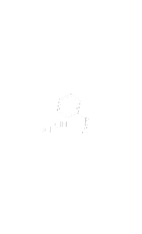 Cl.Cl.O=Pc1ccccc1